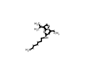 CCc1cc(NCCCCCCN)nc2c(C(C)C)cnn12